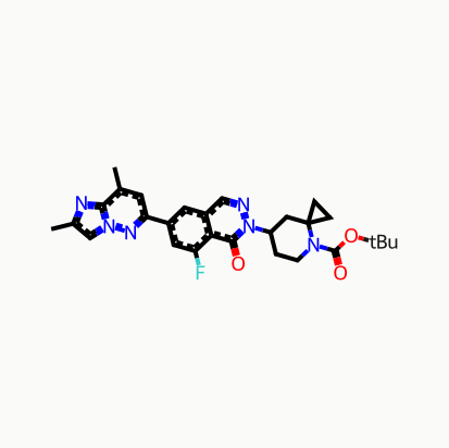 Cc1cn2nc(-c3cc(F)c4c(=O)n(C5CCN(C(=O)OC(C)(C)C)C6(CC6)C5)ncc4c3)cc(C)c2n1